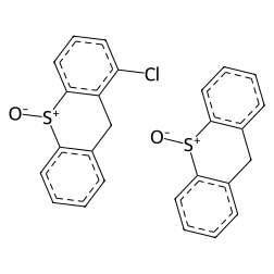 [O-][S+]1c2ccccc2Cc2c(Cl)cccc21.[O-][S+]1c2ccccc2Cc2ccccc21